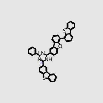 NC(N/C(=N\Cc1ccccc1)c1ccc2sc3ccccc3c2c1)c1ccc2oc3c(-c4cccc5c4sc4ccccc45)cccc3c2c1